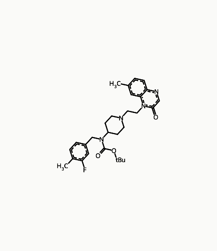 Cc1ccc2ncc(=O)n(CCN3CCC(N(Cc4ccc(C)c(F)c4)C(=O)OC(C)(C)C)CC3)c2c1